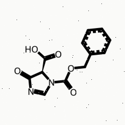 O=C(O)[C@@H]1C(=O)N=CN1C(=O)OCc1ccccc1